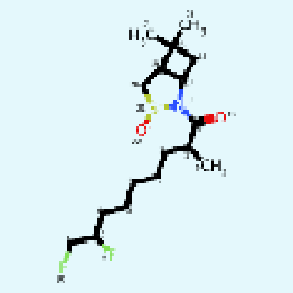 CC(CCCCCC(F)CF)C(=O)N1C2CC(C)(C)C2C[S+]1[O-]